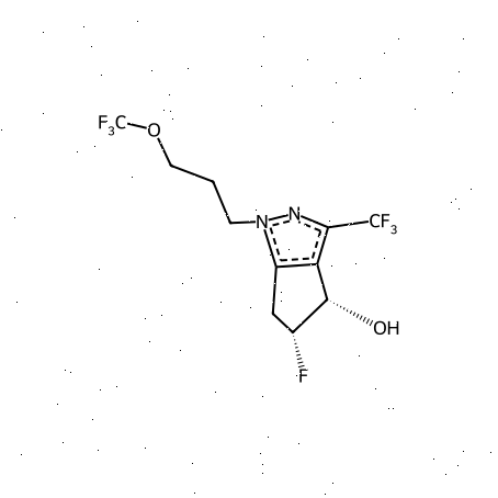 O[C@H]1c2c(C(F)(F)F)nn(CCCOC(F)(F)F)c2C[C@H]1F